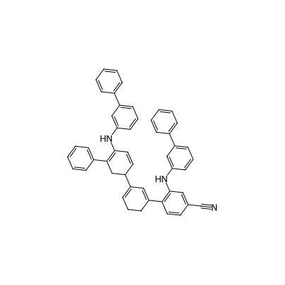 N#Cc1ccc(C2=CC(C3C=CC(Nc4cccc(-c5ccccc5)c4)=C(c4ccccc4)C3)=CCC2)c(Nc2cccc(-c3ccccc3)c2)c1